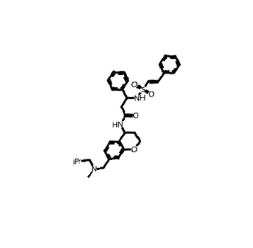 CC(C)CN(C)Cc1ccc2c(c1)OCCC2NC(=O)CC(NS(=O)(=O)C=Cc1ccccc1)c1ccccc1